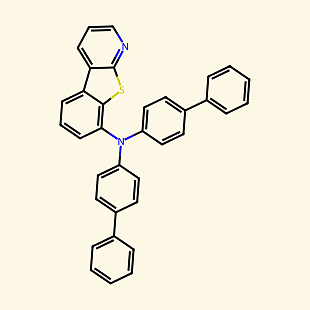 c1ccc(-c2ccc(N(c3ccc(-c4ccccc4)cc3)c3cccc4c3sc3ncccc34)cc2)cc1